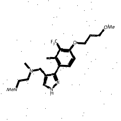 CNCCN(C)Cc1c[nH]nc1-c1ccc(OCCCOC)c(C(F)(F)F)c1C